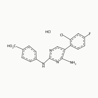 Cl.Nc1nc(Nc2ccc(C(=O)O)cc2)ncc1-c1ccc(F)cc1Cl